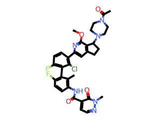 COc1nc(-c2ccc(F)c(-c3c(F)ccc(NC(=O)c4ccnn(C)c4=O)c3C)c2Cl)cc2c1C(N1CCN(C(C)=O)CC1)CC2